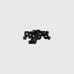 COCOc1ccc(N(C(=O)O)c2ccc(F)cc2)cc1C1(c2ccsc2)CC(=O)C(Sc2ccccc2Cl)C(=O)N1